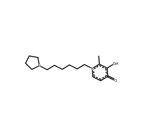 Cc1c(O)c(=O)ccn1CCCCCCN1CCCC1